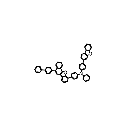 C1=CC2Oc3cc(-c4ccc(N(c5ccccc5)c5ccc(-c6cccc7c6oc6c8ccccc8c(-c8ccc(-c9ccccc9)cc8)cc76)cc5)cc4)ccc3C2C=C1